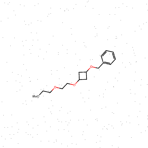 COCCOCCOC1CC(OCc2ccccc2)C1